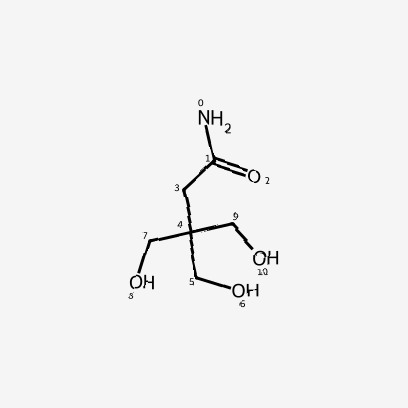 NC(=O)CC(CO)(CO)CO